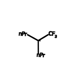 CCC[C](CCC)C(F)(F)F